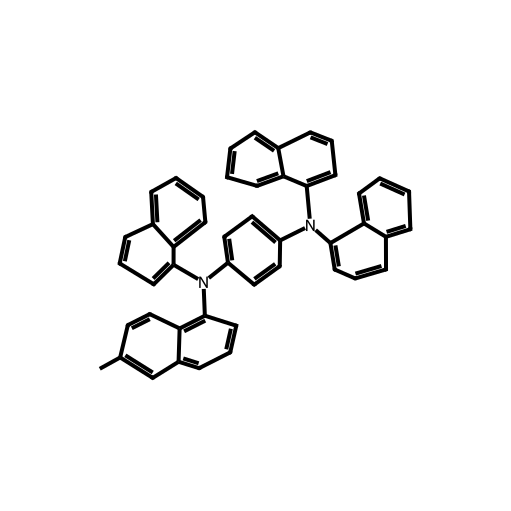 Cc1ccc2c(N(c3ccc(N(c4cccc5ccccc45)c4cccc5ccccc45)cc3)c3cccc4ccccc34)cccc2c1